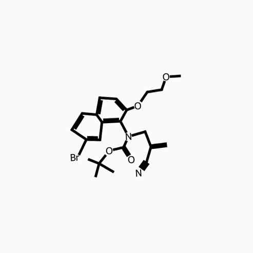 C=C(C#N)CN(C(=O)OC(C)(C)C)c1c(OCCOC)ccc2ccc(Br)cc12